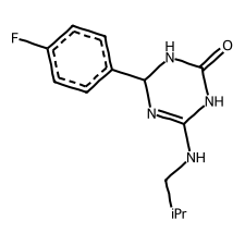 CC(C)CNC1=NC(c2ccc(F)cc2)NC(=O)N1